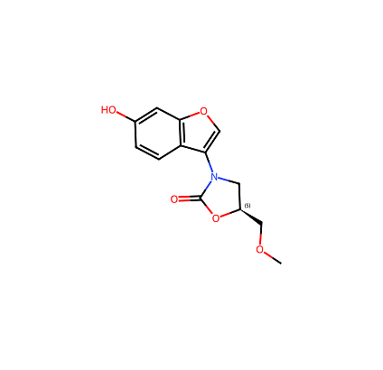 COC[C@@H]1CN(c2coc3cc(O)ccc23)C(=O)O1